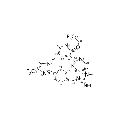 Cn1cc(C(F)(F)F)nc1-c1ccc(Cn2c(=N)n(C)c3cnc(-c4cccnc4OCC(F)(F)F)nc32)cc1